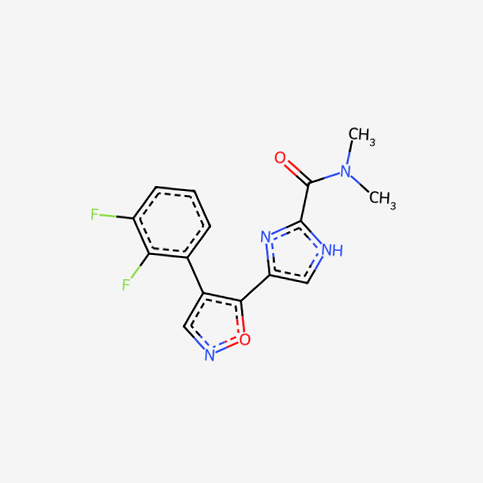 CN(C)C(=O)c1nc(-c2oncc2-c2cccc(F)c2F)c[nH]1